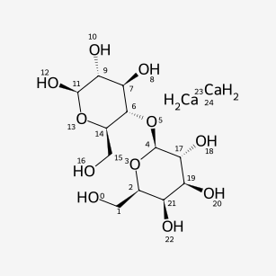 OC[C@H]1O[C@@H](O[C@H]2[C@H](O)[C@@H](O)[C@H](O)O[C@@H]2CO)[C@H](O)[C@@H](O)[C@H]1O.[CaH2].[CaH2]